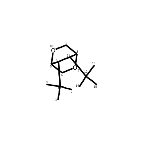 CC(C)(C)C1C2COC(CO2)C1C(C)(C)C